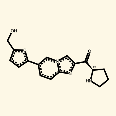 O=C(c1cn2cc(-c3ccc(CO)o3)ccc2n1)[C@H]1CCCN1